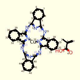 C=C(C)C(=O)O.c1ccc2c(c1)C1=NC/2=N\c2c3ccccc3c3[n]2[Cu][n]2/c(c4ccccc4/c2=N/C2=N\C(=N/3)c3ccccc32)=N\1